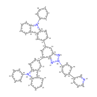 c1ccc(-n2c3ccccc3c3cc(-c4cc(-c5ccc6c(c5)c5ccccc5n6-c5ccccc5)c5nn(-c6ccc(-c7cccnc7)cc6)nc5c4)ccc32)cc1